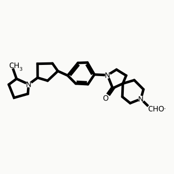 CC1CCCN1C1CCC(c2ccc(N3CCC4(CCN([C]=O)CC4)C3=O)cc2)C1